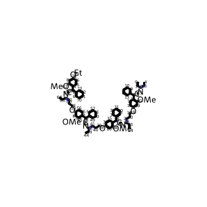 C=C/C(=C\C)N=C=C(c1ccccc1)c1ccc(OCC/C=C(\C=C)N=C=C(c2ccccc2)c2ccc(OCC/C=C(\C=C)N=C=C(c3ccccc3)c3ccc(OCC/C=C(\C=C)N=C=C(c4ccccc4)c4ccc(OCC)cc4OC)cc3OC)cc2OC)cc1OC